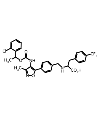 Cc1noc(-c2ccc(CNC(Cc3ccc(C(F)(F)F)cc3)C(=O)O)cc2)c1NC(=O)OC(C)c1ccccc1Cl